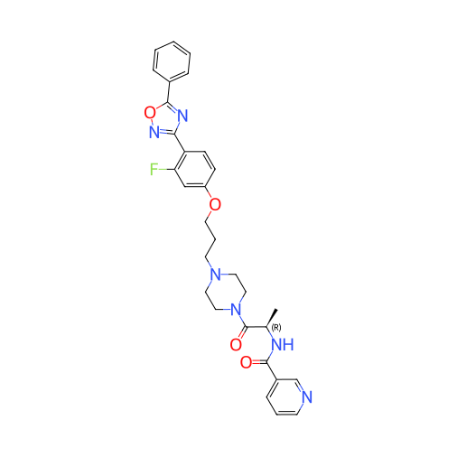 C[C@@H](NC(=O)c1cccnc1)C(=O)N1CCN(CCCOc2ccc(-c3noc(-c4ccccc4)n3)c(F)c2)CC1